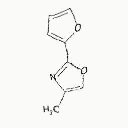 Cc1coc(-c2ccco2)n1